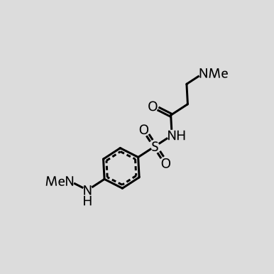 CNCCC(=O)NS(=O)(=O)c1ccc(NNC)cc1